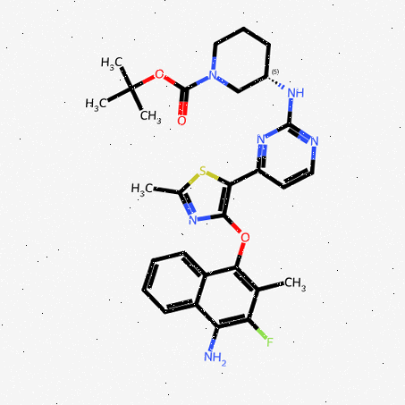 Cc1nc(Oc2c(C)c(F)c(N)c3ccccc23)c(-c2ccnc(N[C@H]3CCCN(C(=O)OC(C)(C)C)C3)n2)s1